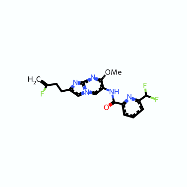 C=C(F)CCc1cn2cc(NC(=O)c3cccc(C(F)F)n3)c(OC)nc2n1